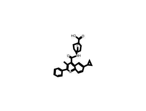 Cc1c(-c2ccccc2)nc2ccc(C3CC3)cc2c1C(=O)NC12CCC(C(=O)O)(CC1)CC2